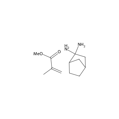 C=C(C)C(=O)OC.NC1(N)CC2CCC1C2